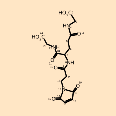 O=C(O)CNC(=O)CCC(NC(=O)CCN1C(=O)C=CC1=O)C(=O)NCC(=O)O